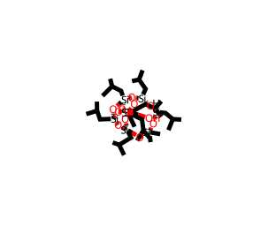 CC(C)C[SiH]1O[Si](C)(C)O[Si]2(CC(C)C)O[Si](O)(CC(C)C)O[Si]3(CC(C)C)O[Si](CC(C)C)(O1)O[Si](C)(CC(C)C)O[Si](CC(C)C)(O2)O3